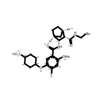 CCC(C)CNC(=O)[C@H]1[C@@H]2CC[C@@H](C2)[C@H]1NC(=O)c1cc(OC2CCC(C(=O)O)CC2)c(F)cc1OC